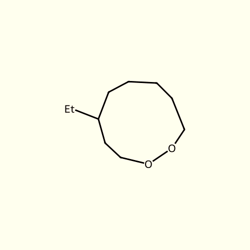 CCC1CCCCCOOCC1